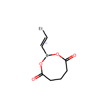 CC/C=C/B1OC(=O)CCCC(=O)O1